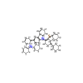 C1=CC2=C(CC1)N(C1=CCCCC1)C1C2C=CCC1C1=CC2=C(CC1)N(C1=C3SC4C=CCCC4C3C(C3=CCCCC3)CC1)C1CCC=CC21